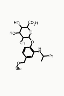 CC(C)C(C)Nc1cc(COC(C)(C)C)ccc1OC1OC(C(=O)O)C(O)C(O)C1O